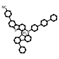 CC12c3cccc(-c4ccccc4)c3-c3cccc(c31)N(c1ccc(-c3ccc(-c4ccccc4)cc3)cc1)c1ccc3c(sc4ccc(-c5ccc(C#N)cc5)cc43)c12